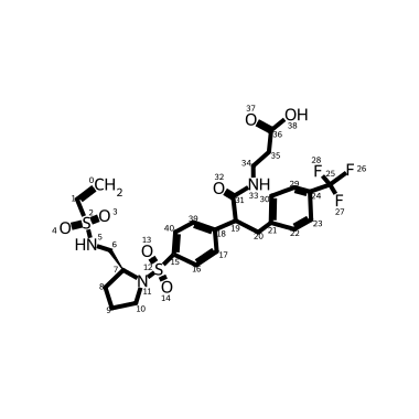 C=CS(=O)(=O)NC[C@@H]1CCCN1S(=O)(=O)c1ccc(C(Cc2ccc(C(F)(F)F)cc2)C(=O)NCCC(=O)O)cc1